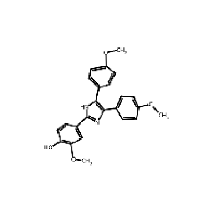 COc1ccc(-c2nc(-c3ccc(O)c(OC)c3)[nH]c2-c2ccc(OC)cc2)cc1